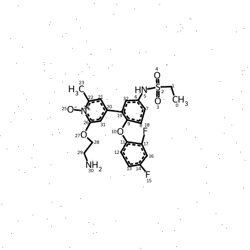 CCS(=O)(=O)Nc1ccc(Oc2ccc(F)cc2F)c(-c2cc(C)[n+]([O-])c(OCCN)c2)c1